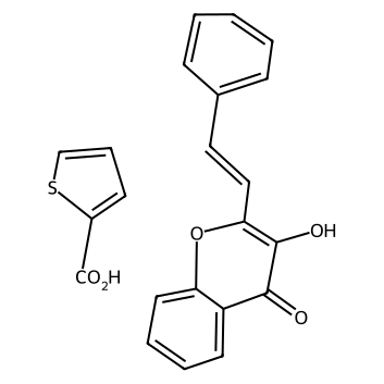 O=C(O)c1cccs1.O=c1c(O)c(C=Cc2ccccc2)oc2ccccc12